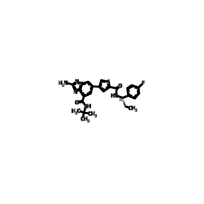 CC[C@H](NC(=O)c1cc(-c2cc(C(=O)NC(C)(C)C)c3nc(N)nn3c2)cs1)c1ccc(F)cc1